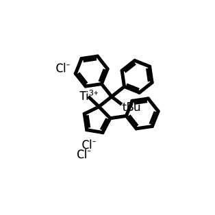 CC(C)(C)C(c1ccccc1)(c1ccccc1)[C]1([Ti+3])C=CC=C1c1ccccc1.[Cl-].[Cl-].[Cl-]